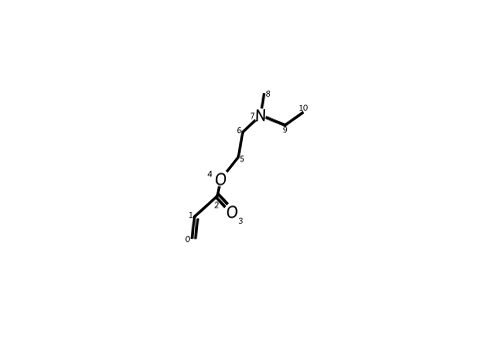 C=CC(=O)OCCN(C)CC